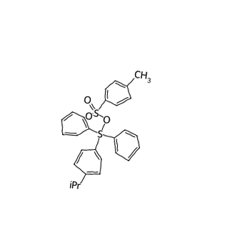 Cc1ccc(S(=O)(=O)OS(c2ccccc2)(c2ccccc2)c2ccc(C(C)C)cc2)cc1